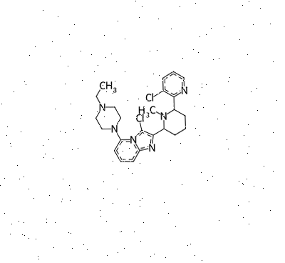 CCN1CCN(c2cccc3nc(C4CCCC(c5ncccc5Cl)N4C)c(Cl)n23)CC1